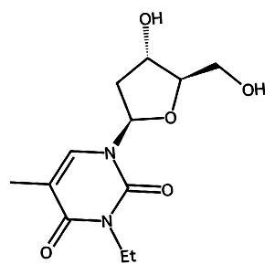 CCn1c(=O)c(C)cn([C@H]2C[C@H](O)[C@@H](CO)O2)c1=O